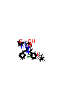 CC(C)(C)[Si](C)(C)Oc1ccc(F)c(-c2cnc(N/C(=C\c3ccco3)C(=O)O)c(Cc3ccccc3)n2)c1